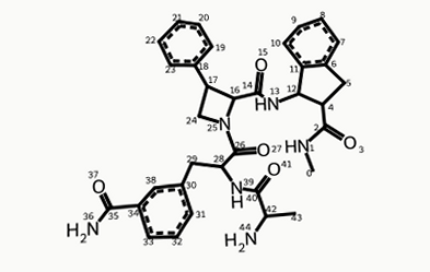 CNC(=O)C1Cc2ccccc2C1NC(=O)C1C(c2ccccc2)CN1C(=O)C(Cc1cccc(C(N)=O)c1)NC(=O)C(C)N